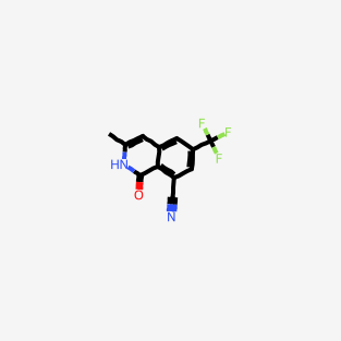 Cc1cc2cc(C(F)(F)F)cc(C#N)c2c(=O)[nH]1